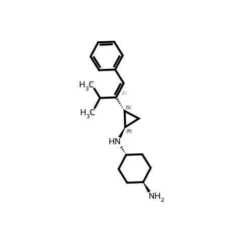 CC(C)/C(=C\c1ccccc1)[C@@H]1C[C@H]1N[C@H]1CC[C@H](N)CC1